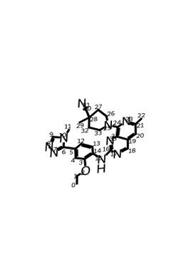 CCOc1cc(-c2nncn2C)ccc1Nc1ncc2cc(C)nc(N3CCC(C)(C#N)CC3)c2n1